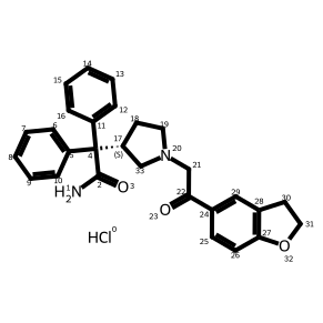 Cl.NC(=O)C(c1ccccc1)(c1ccccc1)[C@@H]1CCN(CC(=O)c2ccc3c(c2)CCO3)C1